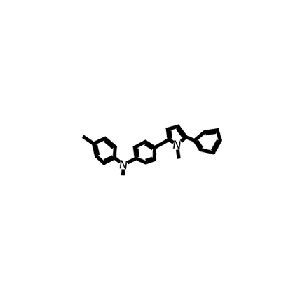 Cc1ccc(N(C)c2ccc(-c3ccc(-c4ccccc4)n3C)cc2)cc1